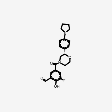 O=Cc1cc(C(=O)N2CCO[C@@H](c3ccc(N4CCCC4)cc3)C2)cc(F)c1O